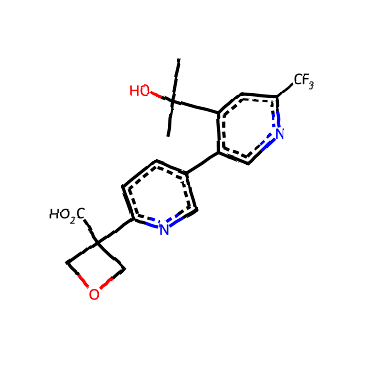 CC(C)(O)c1cc(C(F)(F)F)ncc1-c1ccc(C2(C(=O)O)COC2)nc1